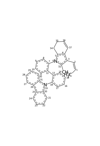 C/C=C\c1c2c(n(-c3ccccc3-c3ccccc3-n3c4ccccc4c4ccccc43)c1C)CCC=C2